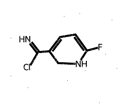 N=C(Cl)C1=CC=C(F)NC1